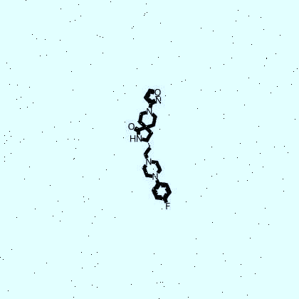 O=C1N[C@@H](CCN2CCN(c3ccc(F)cc3)CC2)CC12CCN(c1ccon1)CC2